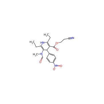 CCC1=C(C(=O)OCCC#N)C(c2ccc([N+](=O)[O-])cc2)C(N(C)C=O)=C(CC)N1